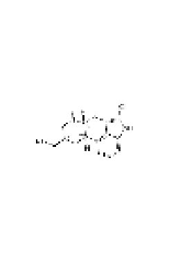 CN1C[C@H](CC#N)C[C@@H]2c3cccc4[nH]c(Cl)c(c34)C[C@H]21